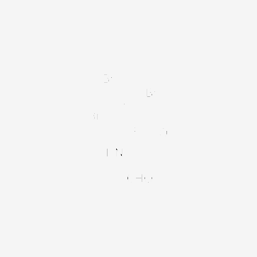 O=CNC(=O)C(Br)(Br)Br